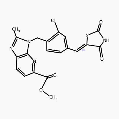 COC(=O)c1ccc2nc(C)n(Cc3ccc(/C=C4\SC(=O)NC4=O)cc3Cl)c2n1